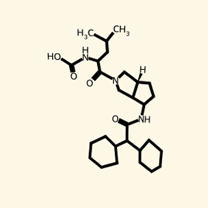 CC(C)CC(NC(=O)O)C(=O)N1CC2C(NC(=O)C(C3CCCCC3)C3CCCCC3)CC[C@H]2C1